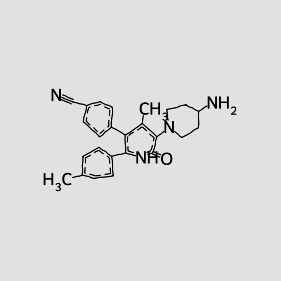 Cc1ccc(-c2[nH]c(=O)c(N3CCC(N)CC3)c(C)c2-c2ccc(C#N)cc2)cc1